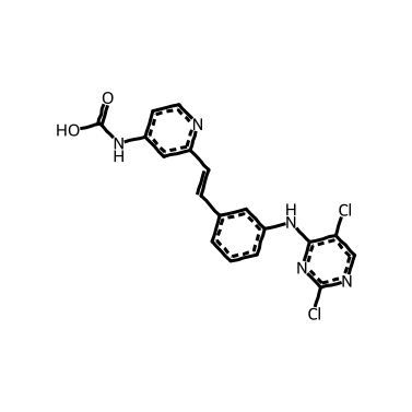 O=C(O)Nc1ccnc(C=Cc2cccc(Nc3nc(Cl)ncc3Cl)c2)c1